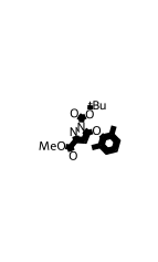 COC(=O)c1cc(Oc2c(C)cccc2C)n(C(=O)OC(C)(C)C)n1